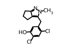 Cn1nc2c(c1Cc1cc(O)c(Cl)cc1Cl)CCC2